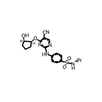 CC(C)NS(=O)(=O)c1ccc(Nc2ncc(C#N)c(O[C@H]3CCC[C@H]3O)n2)cc1